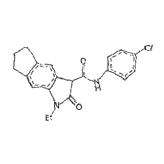 CCN1C(=O)C(C(=O)Nc2ccc(Cl)cc2)c2cc3c(cc21)CCC3